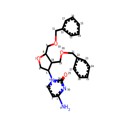 Nc1ccn(C2COC(COCc3ccccc3)C2COCc2ccccc2)c(=O)n1